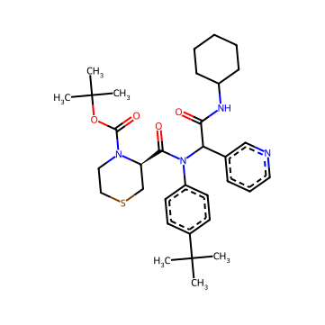 CC(C)(C)OC(=O)N1CCSC[C@@H]1C(=O)N(c1ccc(C(C)(C)C)cc1)C(C(=O)NC1CCCCC1)c1cccnc1